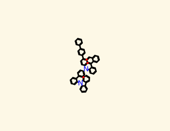 c1ccc(-c2ccc(-c3ccc(N(c4ccc(-c5ccccc5-n5c6ccccc6c6ccccc65)cc4)c4ccccc4-c4cccc5ccccc45)cc3)cc2)cc1